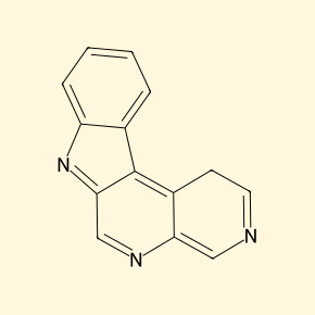 C1=NC=c2ncc3c(c2C1)-c1ccccc1N=3